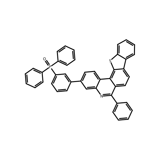 O=P(c1ccccc1)(c1ccccc1)c1cccc(-c2ccc3c(c2)nc(-c2ccccc2)c2ccc4c5ccccc5sc4c23)c1